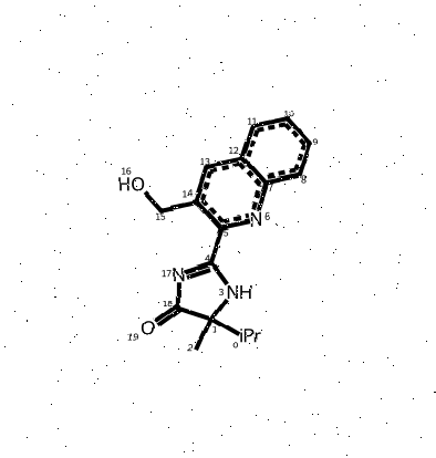 CC(C)C1(C)NC(c2nc3ccccc3cc2CO)=NC1=O